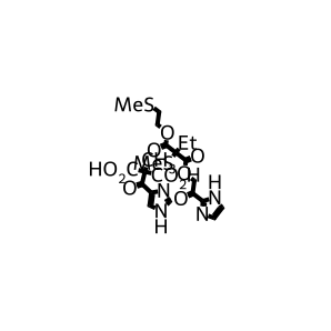 CC(C(=O)O)(C(=O)O)C(=O)c1c[nH]cn1.CCC(SC)(C(=O)OCCSC)C(=O)OCC(=O)c1ncc[nH]1